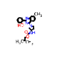 Cc1ccc2c(N3CC[C@@H](NC(=O)OCC(C)C)C3)nc(-c3ccccc3O)nc2c1